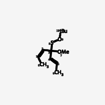 C/C=C\C(/C=C/C)(OC)SOC(C)(C)C